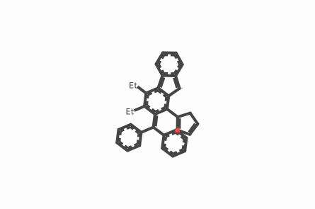 CCc1c(CC)c2c(c(C3=CC=CC3)c1=C(c1ccccc1)c1ccccc1)[C]=c1ccccc1=2